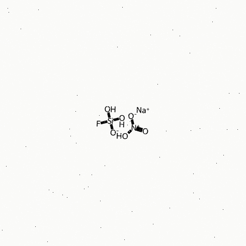 O=[N+]([O-])O.[Na+].[O-][Si](O)(O)F